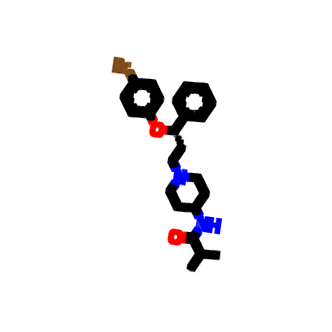 CC(C)C(=O)NC1CCN(CC[C@H](Oc2ccc(Br)cc2)c2ccccc2)CC1